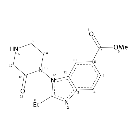 CCc1nc2ccc(C(=O)OC)cc2n1N1CCNCC1=O